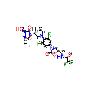 CCN(CCN(OC)C(=O)NO)c1c(F)cc(N2C[C@H](CNC(=O)C(F)F)OC2=O)cc1F